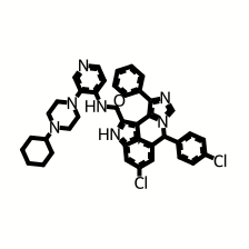 O=C(Nc1ccncc1N1CCN(C2CCCCC2)CC1)c1[nH]c2cc(Cl)cc3c2c1-c1c(-c2ccccc2)ncn1C3c1ccc(Cl)cc1